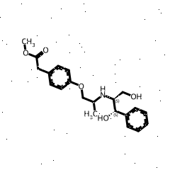 COC(=O)Cc1ccc(OCC(C)N[C@@H](CO)[C@@H](O)c2ccccc2)cc1